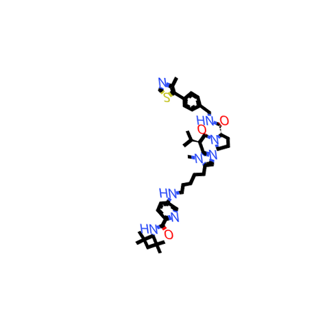 Cc1ncsc1-c1ccc(CNC(=O)[C@@H]2CCCN2C(=O)[C@@H](c2ncc(CCCCCNc3ccc(C(=O)NC4C(C)(C)CC4(C)C)nc3)n2C)C(C)C)cc1